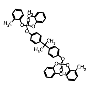 Cc1ccccc1OP(=O)(Oc1ccc(C(C)(C)c2ccc(OP(=O)(Oc3ccccc3C)Oc3ccccc3C)cc2)cc1)Oc1ccccc1C